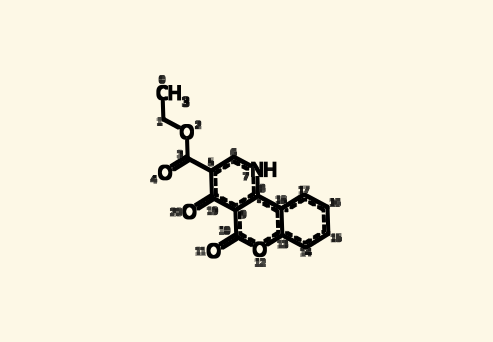 CCOC(=O)c1c[nH]c2c(c(=O)oc3ccccc32)c1=O